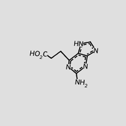 Nc1nc(CCC(=O)O)c2[nH]cnc2n1